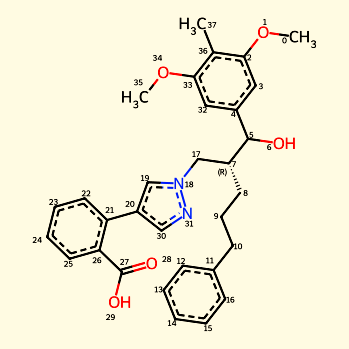 COc1cc(C(O)[C@H](CCCc2ccccc2)Cn2cc(-c3ccccc3C(=O)O)cn2)cc(OC)c1C